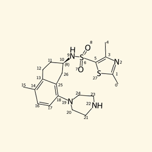 Cc1nc(C)c(S(=O)(=O)N[C@@H]2CCc3c(C)ccc(N4CCNCC4)c3C2)s1